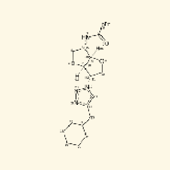 CCCC(=O)N[C@H]1CO[C@H]2[C@@H]1OC[C@@H]2n1cc(CC2CCCCC2)nn1